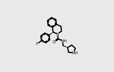 O=C(NC[C@H]1CCNC1)N1CCc2ccccc2[C@@H]1c1ccc(F)cc1